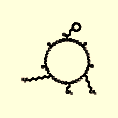 CCCCCCCCC1CCCCCC(CCC)CCCCC(CCCCCC)COC(=O)CCCCCC(=O)OCCCN(C(=O)CCN2CCCCCC2)CCCOC(=O)CCCCCC(=O)OC1